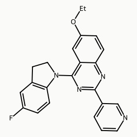 CCOc1ccc2nc(-c3cccnc3)nc(N3CCc4cc(F)ccc43)c2c1